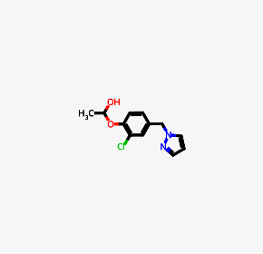 CC(O)Oc1ccc(Cn2cccn2)cc1Cl